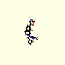 Cc1ncc(-c2ccc3cnc(NC(=O)C4CCCCC4N4CC4CF)cc3c2)o1